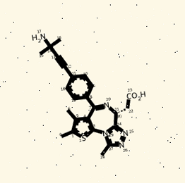 Cc1sc2c(c1C)C(c1ccc(C#CC(C)(C)N)cc1)=N[C@H](CC(=O)O)c1nnc(C)n1-2